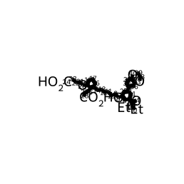 CCN(CC)C(=O)c1cc(OCCCCCCc2cccc(OCCCC(=O)O)c2CCC(=O)O)cc(-c2ccc3c(c2)OCCO3)c1